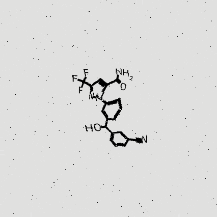 N#Cc1cccc(C(O)c2cccc(-n3nc(C(F)(F)F)cc3C(N)=O)c2)c1